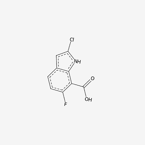 O=C(O)c1c(F)ccc2cc(Cl)[nH]c12